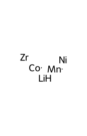 [Co].[LiH].[Mn].[Ni].[Zr]